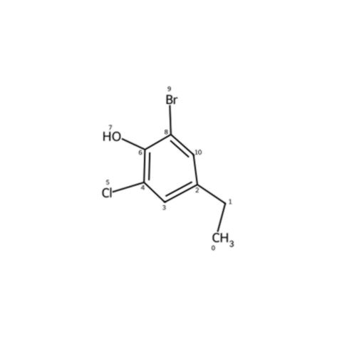 CCc1cc(Cl)c(O)c(Br)c1